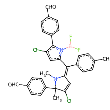 Cc1ccc(/C(=C2\C=C(Cl)C(C)(c3ccc(C=O)cc3)N2C)c2cc(Cl)c(-c3ccc(C=O)cc3)n2B(F)F)cc1